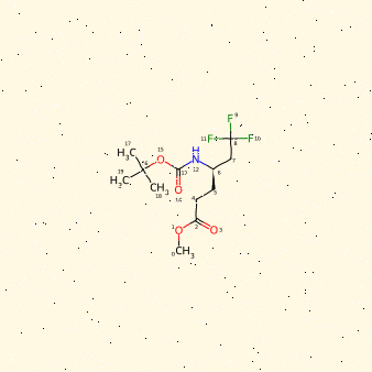 COC(=O)CC[C@H](CC(F)(F)F)NC(=O)OC(C)(C)C